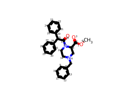 COC(=O)C1CN(Cc2ccccc2)CCN1C(=O)C(c1ccccc1)c1ccccc1